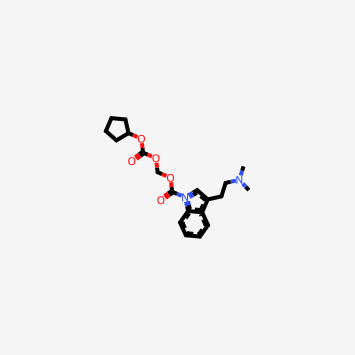 CN(C)CCc1cn(C(=O)OCOC(=O)OC2CCCC2)c2ccccc12